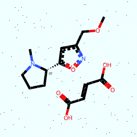 COCc1cc([C@@H]2CCCN2C)on1.O=C(O)C=CC(=O)O